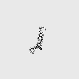 NCCc1ccc2nc(Oc3ccc(OCC4CCCCC4)c(Br)c3)ccc2c1